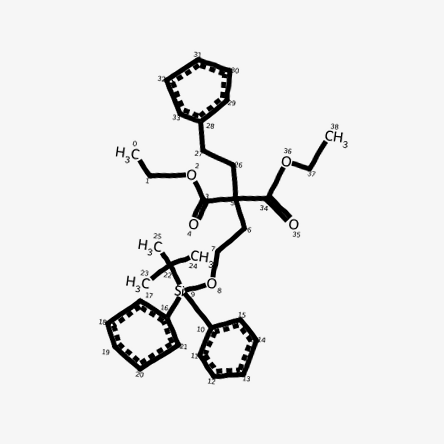 CCOC(=O)C(CCO[Si](c1ccccc1)(c1ccccc1)C(C)(C)C)(CCc1ccccc1)C(=O)OCC